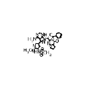 COc1ncc(-c2nn(Cc3nn4cccc4c(=O)n3C(C)c3ccccc3)c3ncnc(N)c23)cc1NS(C)(=O)=O